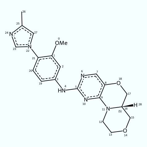 COc1cc(Nc2ncc3c(n2)N2CCOC[C@H]2CO3)ccc1-n1cnc(C)c1